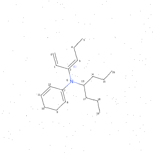 C=C/C(=C\CC)N(C1=CCCC=C1)C(CCC)CCC